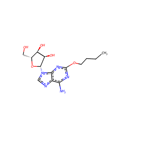 CCCCOc1nc(N)c2ncn([C@@H]3O[C@H](CO)[C@@H](O)[C@H]3O)c2n1